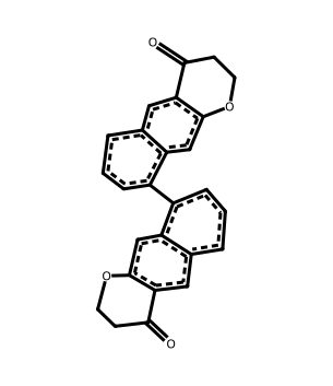 O=C1CCOc2cc3c(-c4cccc5cc6c(cc45)OCCC6=O)cccc3cc21